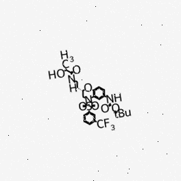 CC(O)C(=O)NCC[C@H]1CN(S(=O)(=O)c2cccc(C(F)(F)F)c2)c2cc(NC(=O)OC(C)(C)C)ccc2O1